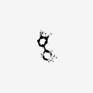 C/C=N\C(=N/C)c1ccc(N)c(F)c1